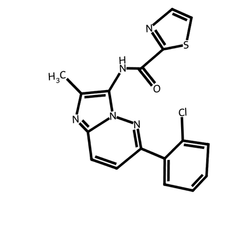 Cc1nc2ccc(-c3ccccc3Cl)nn2c1NC(=O)c1nccs1